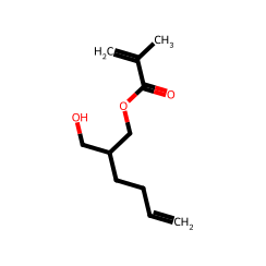 C=CCCC(CO)COC(=O)C(=C)C